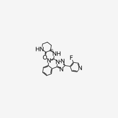 O=C1NCCC[C@H]1Nc1nc2ccccc2c2nc(-c3ccncc3F)nn12